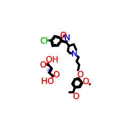 COc1cc(C(C)=O)ccc1OCCCCN1CCC(c2noc3cc(Cl)ccc23)CC1.O=C(O)/C=C/C(=O)O